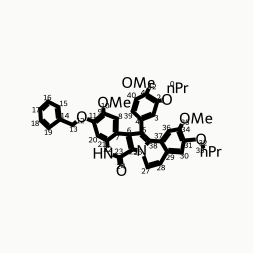 CCCOc1cc(-c2c3c4cc(OC)c(OCc5ccccc5)cc4[nH]c(=O)c3n3ccc4cc(OCCC)c(OC)cc4c23)ccc1OC